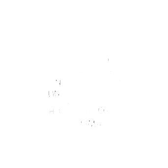 COC(=O)C1=C(C)NN=C(c2ccccc2)C1c1cccc(Cl)c1